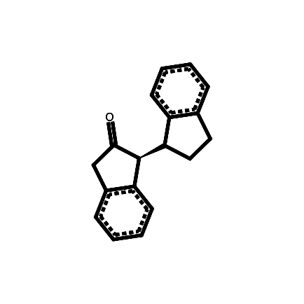 O=C1Cc2ccccc2[C@@H]1C1CCc2ccccc21